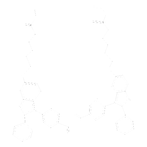 COC(=O)CCCCCOc1ccc2c(c1)nc(-c1ccccc1)n2-c1ccc(C=S)cc1.COC(=O)CCCCCOc1ccc2nc(-c3ccccc3)n(-c3ccc(C=S)cc3)c2c1